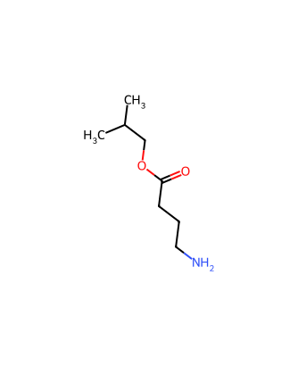 CC(C)COC(=O)CCCN